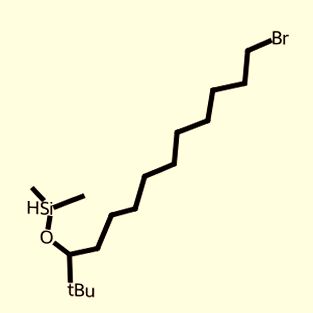 C[SiH](C)OC(CCCCCCCCCCBr)C(C)(C)C